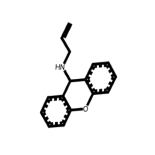 C=CCNC1c2ccccc2Oc2ccccc21